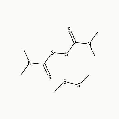 CN(C)C(=S)SSC(=S)N(C)C.CSSC